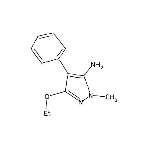 CCOc1nn(C)c(N)c1-c1ccccc1